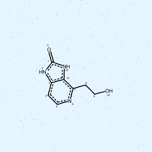 O=c1[nH]c2ccnc(CCO)c2[nH]1